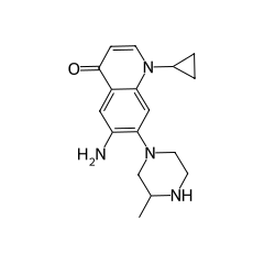 CC1CN(c2cc3c(cc2N)c(=O)ccn3C2CC2)CCN1